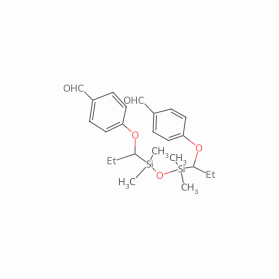 CCC(Oc1ccc(C=O)cc1)[Si](C)(C)O[Si](C)(C)C(CC)Oc1ccc(C=O)cc1